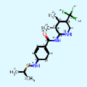 CC(C)SNC1C=CC(C(=O)NC2NCC(C(F)(F)F)C(C)[C@@H]2C)=CC1